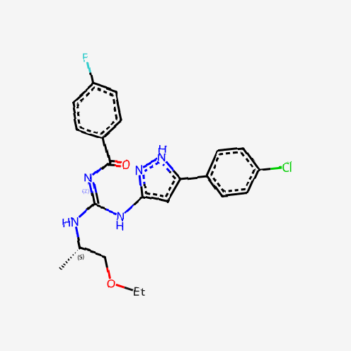 CCOC[C@H](C)N/C(=N/C(=O)c1ccc(F)cc1)Nc1cc(-c2ccc(Cl)cc2)[nH]n1